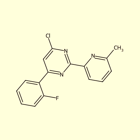 Cc1cccc(-c2nc(Cl)cc(-c3ccccc3F)n2)n1